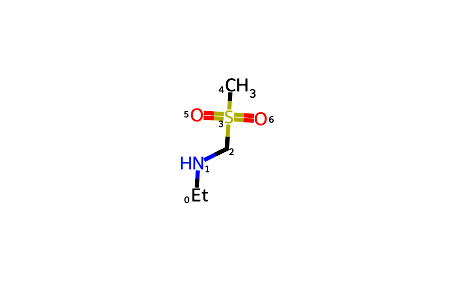 [CH2]CNCS(C)(=O)=O